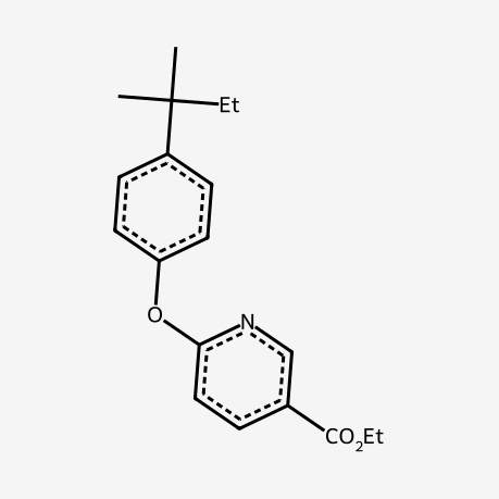 CCOC(=O)c1ccc(Oc2ccc(C(C)(C)CC)cc2)nc1